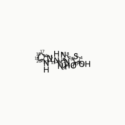 O[C@@H]1[C@H](O)CS[C@H]1c1cnc2c(NCc3nc4ccccc4[nH]3)nccn12